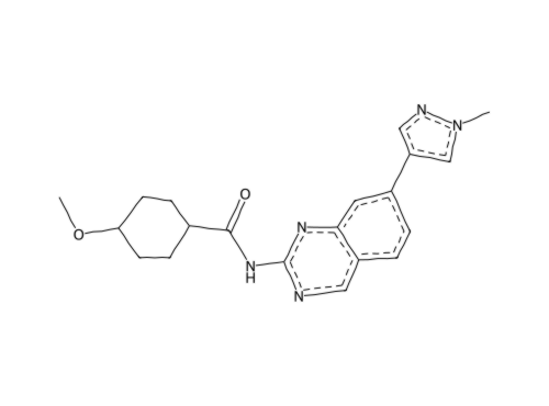 COC1CCC(C(=O)Nc2ncc3ccc(-c4cnn(C)c4)cc3n2)CC1